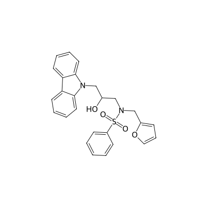 O=S(=O)(c1ccccc1)N(Cc1ccco1)CC(O)Cn1c2ccccc2c2ccccc21